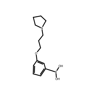 OB(O)c1cccc(OCCCN2CCCC2)c1